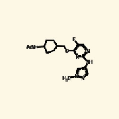 CC(=O)NC1CCC(COc2nc(Nc3cnn(C)c3)ncc2F)CC1